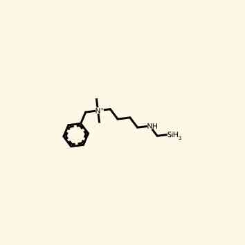 C[N+](C)(CCCCNC[SiH3])Cc1ccccc1